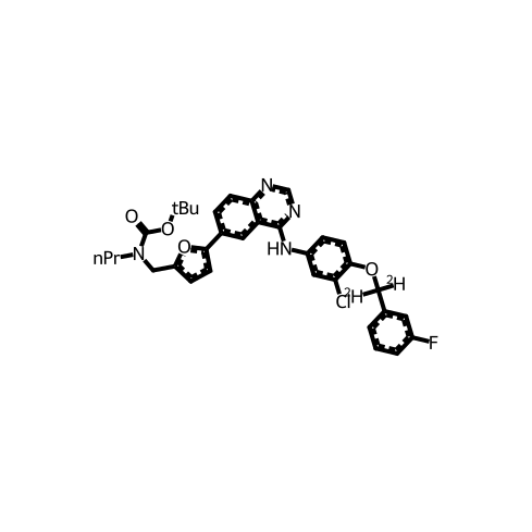 [2H]C([2H])(Oc1ccc(Nc2ncnc3ccc(-c4ccc(CN(CCC)C(=O)OC(C)(C)C)o4)cc23)cc1Cl)c1cccc(F)c1